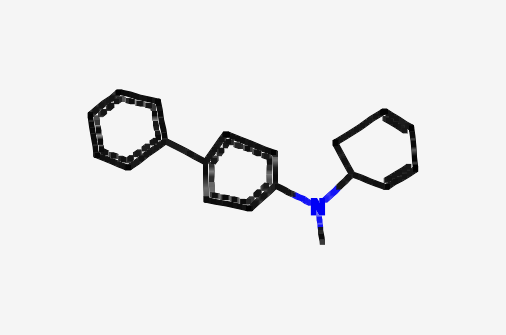 CN(c1ccc(-c2ccccc2)cc1)C1C=CC=CC1